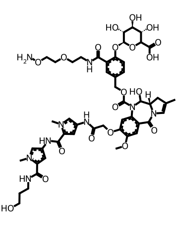 COc1cc2c(cc1OCC(=O)Nc1cc(C(=O)Nc3cc(C(=O)NCCCO)n(C)c3)n(C)c1)N(C(=O)OCc1ccc(O[C@@H]3OC(C(=O)O)[C@@H](O)[C@H](O)[C@H]3O)c(C(=O)NCCOCCON)c1)C(O)[C@@H]1CC(C)=CN1C2=O